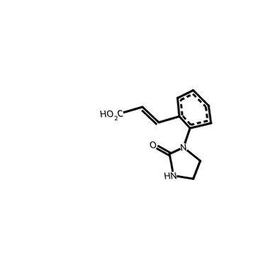 O=C(O)/C=C/c1ccccc1N1CCNC1=O